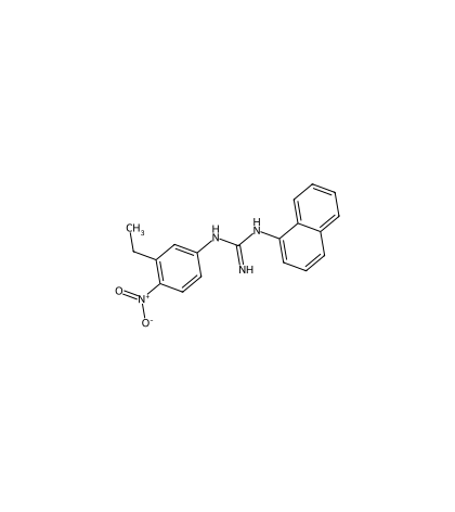 CCc1cc(NC(=N)Nc2cccc3ccccc23)ccc1[N+](=O)[O-]